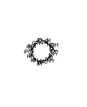 C/C=C/C[C@@H](C)[C@@H](O)[C@H]1C(=O)N[C@@H](C)C(=O)N(C)CC(=O)N(C)[C@@H](CC(C)C)C(=O)N[C@@H](C(C)C)C(=O)N(C)[C@@H](CC(C)C)C(=O)N[C@@H](C)C(=O)N[C@H](C)C(=O)N(C)[C@@H](CC(C)C)C(=O)N(C)[C@@H](CC(C)C)C(=O)N(C)[C@@H](C(C)C)C(=O)N1C